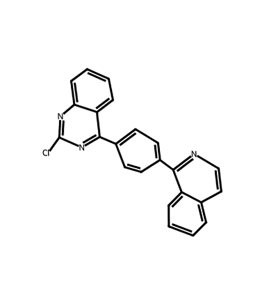 Clc1nc(-c2ccc(-c3nccc4ccccc34)cc2)c2ccccc2n1